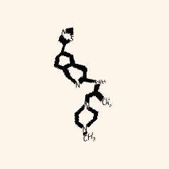 C=C(CN1CCN(C)CC1)Nc1cc2cc(-c3cncs3)ccc2cn1